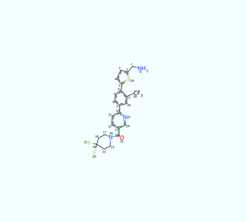 NCc1ccc(-c2ccc(-c3ccc(C(=O)N4CCC(F)(F)CC4)cn3)cc2C(F)(F)F)s1